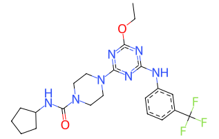 CCOc1nc(Nc2cccc(C(F)(F)F)c2)nc(N2CCN(C(=O)NC3CCCC3)CC2)n1